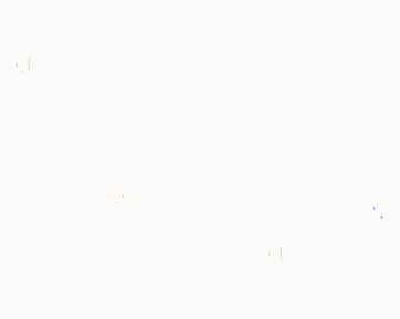 N#CC(Cl)Cc1ccc(Oc2ccc(Cl)cc2)cc1